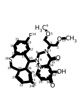 COCC(COC)N1CN(C2c3cc(F)ccc3SCC3C=CC(F)=CC32)n2ccc(=O)c(O)c2C1=O